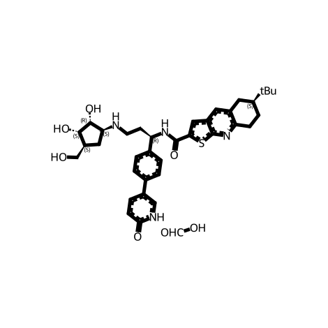 CC(C)(C)[C@H]1CCc2nc3sc(C(=O)N[C@H](CCN[C@H]4C[C@@H](CO)[C@H](O)[C@@H]4O)c4ccc(-c5ccc(=O)[nH]c5)cc4)cc3cc2C1.O=CO